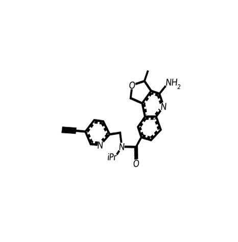 C#Cc1ccc(CN(C(=O)c2ccc3nc(N)c4c(c3c2)COC4C)C(C)C)nc1